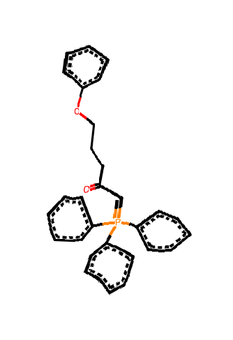 O=C(C=P(c1ccccc1)(c1ccccc1)c1ccccc1)CCCOc1ccccc1